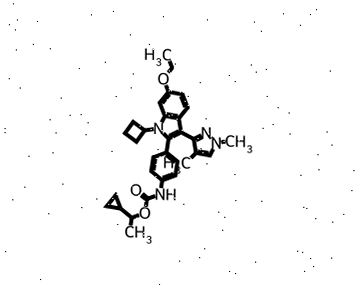 CCOc1ccc2c(-c3nn(C)cc3C)c(-c3ccc(NC(=O)OC(C)C4CC4)cc3)n(C3CCC3)c2c1